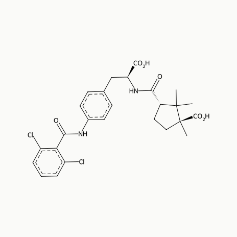 CC1(C)[C@@H](C(=O)N[C@@H](Cc2ccc(NC(=O)c3c(Cl)cccc3Cl)cc2)C(=O)O)CC[C@]1(C)C(=O)O